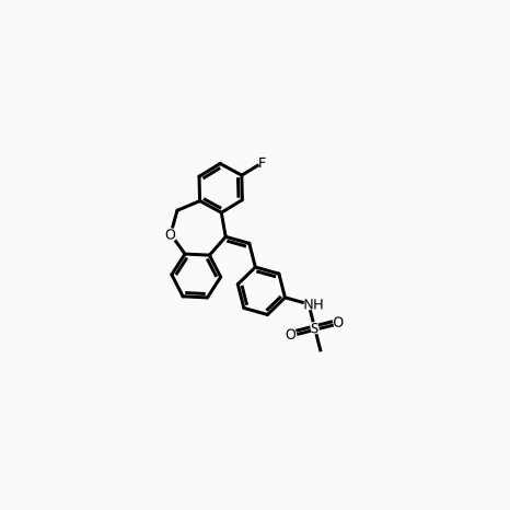 CS(=O)(=O)Nc1cccc(/C=C2/c3cc(F)ccc3COc3ccccc32)c1